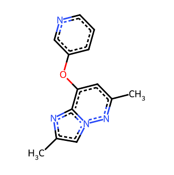 Cc1cn2nc(C)cc(Oc3cccnc3)c2n1